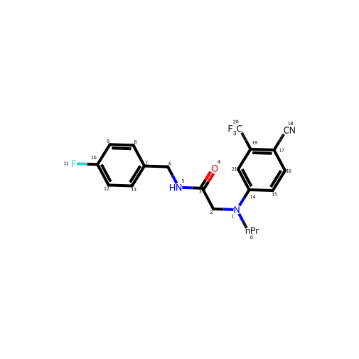 CCCN(CC(=O)NCc1ccc(F)cc1)c1ccc(C#N)c(C(F)(F)F)c1